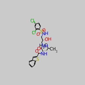 CC(C)C[C@H](NC(=O)c1cc2ccccc2s1)C(=O)NC[C@@H](O)CNS(=O)(=O)c1ccc(Cl)cc1Cl